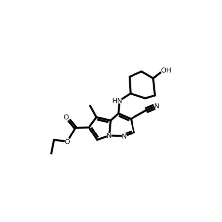 CCOC(=O)c1cn2ncc(C#N)c(NC3CCC(O)CC3)c2c1C